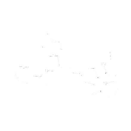 CCNC(=O)C1(N2CCCCC2=O)CCN(CC[C@H](CN(C)C(=O)c2ccccc2)c2ccc(Cl)c(Cl)c2)CC1